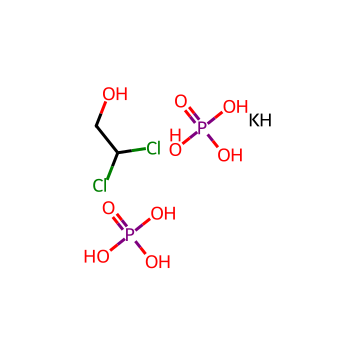 O=P(O)(O)O.O=P(O)(O)O.OCC(Cl)Cl.[KH]